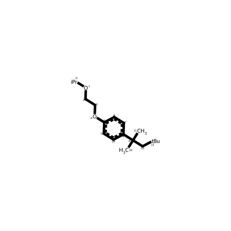 CC(C)OCCOc1ccc(C(C)(C)CC(C)(C)C)cc1